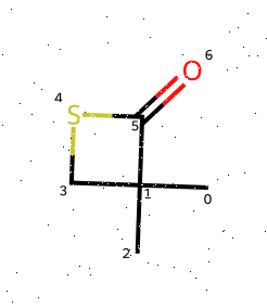 CC1(C)CSC1=O